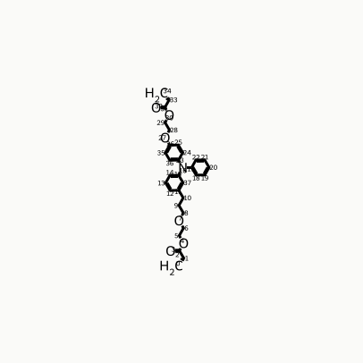 C=CC(=O)OCCOCCCc1cccc(N(c2ccccc2)c2ccc(OCCOC(=O)C=C)cc2)c1